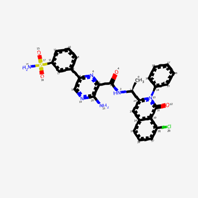 C[C@H](NC(=O)c1nc(-c2cccc(S(N)(=O)=O)c2)cnc1N)c1cc2cccc(Cl)c2c(=O)n1-c1ccccc1